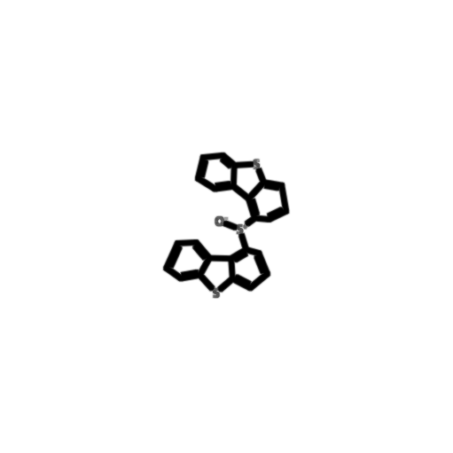 [O-][S+](c1cccc2sc3ccccc3c12)c1cccc2sc3ccccc3c12